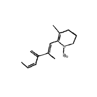 C=C(/C=C\C)/C(C)=C/C1=C(C)CCCN1C(C)CC